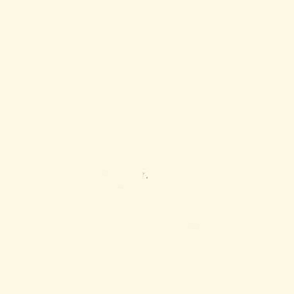 Cc1sc(=S)n(CCO)c1-c1ccccc1